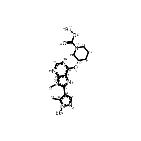 CCn1ncc(-c2nc3c(O[C@H]4CCCN(C(=O)OC(C)(C)C)C4)ncnc3n2C)c1C